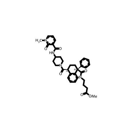 COC(=O)CCCNC(=O)[C@@]1(c2ccccc2)CC[C@H](C(=O)N2CCC(NC(=O)c3cccn(C)c3=O)CC2)c2ccccc21